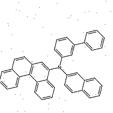 c1ccc(-c2cccc(N(c3ccc4ccccc4c3)c3cc4ccc5ccccc5c4c4ccccc34)c2)cc1